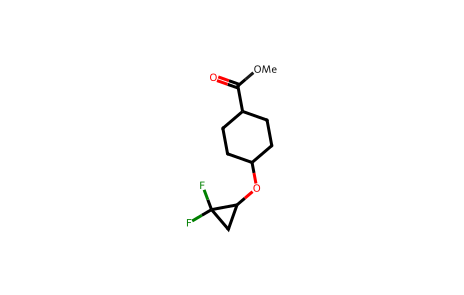 COC(=O)C1CCC(OC2CC2(F)F)CC1